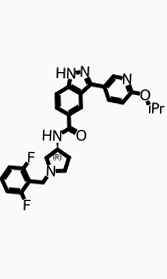 CC(C)Oc1ccc(-c2n[nH]c3ccc(C(=O)N[C@@H]4CCN(Cc5c(F)cccc5F)C4)cc23)cn1